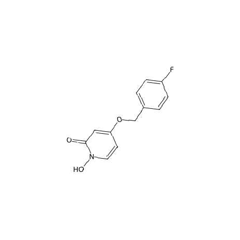 O=c1cc(OCc2ccc(F)cc2)ccn1O